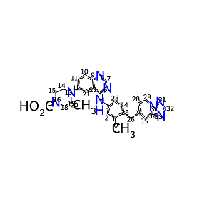 Cc1cc(Nc2ncnc3ccc(N4CCN(C(=O)O)C[C@@H]4C)cc23)ccc1Cc1ccn2ncnc2c1